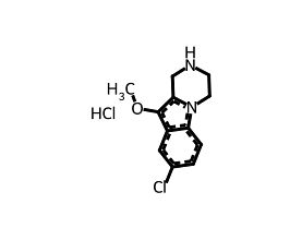 COc1c2n(c3ccc(Cl)cc13)CCNC2.Cl